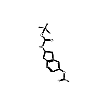 CC(=O)Oc1ccc2c(c1)CC(NC(=O)OC(C)(C)C)C2